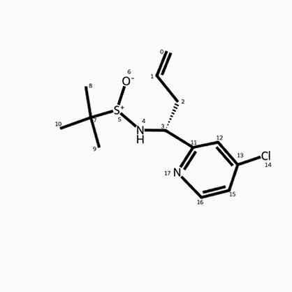 C=CC[C@@H](N[S+]([O-])C(C)(C)C)c1cc(Cl)ccn1